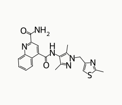 Cc1nc(Cn2nc(C)c(NC(=O)c3cc(C(N)=O)nc4ccccc34)c2C)cs1